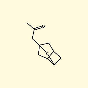 CC(=O)CC12CC3CC(C1)C3C2